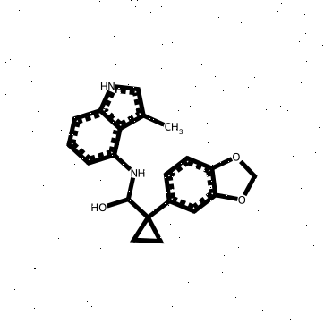 Cc1c[nH]c2cccc(NC(O)C3(c4ccc5c(c4)OCO5)CC3)c12